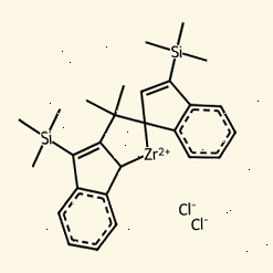 CC1(C)C2=C([Si](C)(C)C)c3ccccc3[CH]2[Zr+2][C]12C=C([Si](C)(C)C)c1ccccc12.[Cl-].[Cl-]